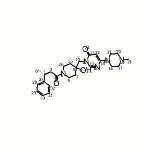 C[C@H](CC(=O)N1CCC(O)(Cn2cnc(N3CCN(C)CC3)cc2=O)CC1)c1ccccc1